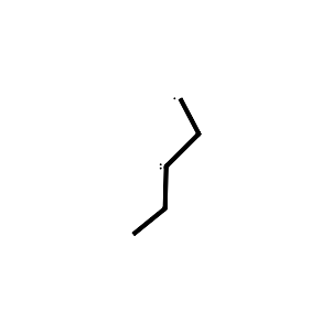 [CH2]C[C]CC